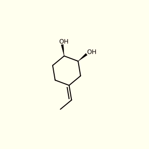 CC=C1CC[C@@H](O)[C@@H](O)C1